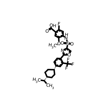 COc1cc(C(=O)O)c(F)cc1NS(=O)(=O)c1coc(-c2ccc([C@H]3CC[C@@H](C(C)C)CC3)cc2C(F)(F)F)n1